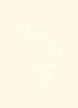 CC(C)(C)C(=O)ON1CCCC(N2Cc3cccc(NC(=O)c4cccc5ccccc45)c3C2=O)C1